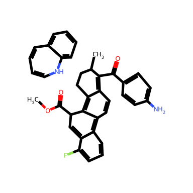 C1=CNc2ccccc2C=C1.COC(=O)C1C=c2c(F)cccc2=c2ccc3c(c21)CCC(C)C=3C(=O)c1ccc(N)cc1